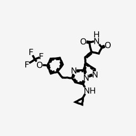 O=C1C/C(=C\c2cnn3c(NC4CC4)cc(Cc4cccc(OC(F)(F)F)c4)nc23)C(=O)N1